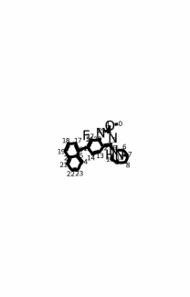 COc1nc(N2CC3CC(C2)N3)c2ccc(-c3cccc4ccccc34)c(F)c2n1